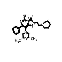 C[C@@H]1CN(c2c(-c3ccccc3)nc(N)n3c(=O)n(CCN4CCCCC4)nc23)C[C@H](C)O1